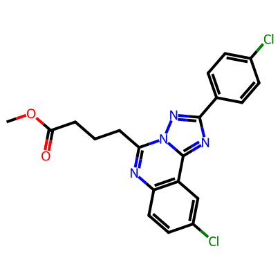 COC(=O)CCCc1nc2ccc(Cl)cc2c2nc(-c3ccc(Cl)cc3)nn12